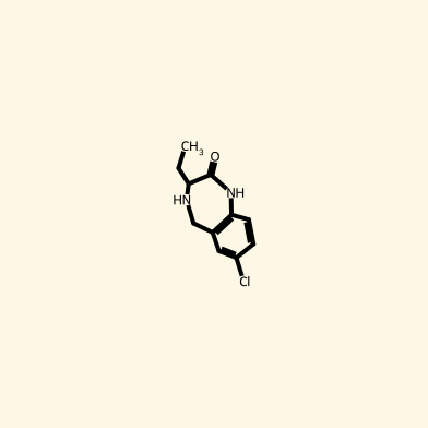 CCC1NCc2cc(Cl)ccc2NC1=O